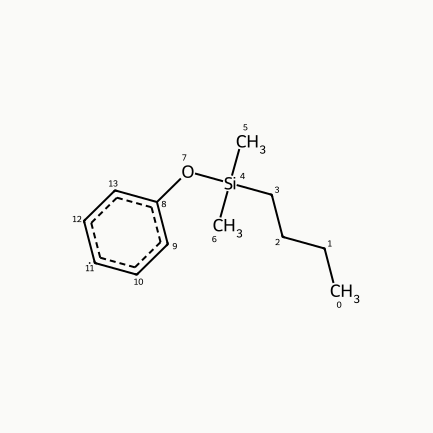 CCCC[Si](C)(C)Oc1cc[c]cc1